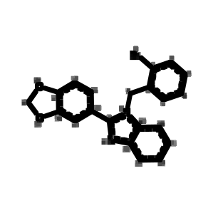 Brc1ccccc1Cn1c(-c2ccc3c(c2)OCO3)nc2ccccc21